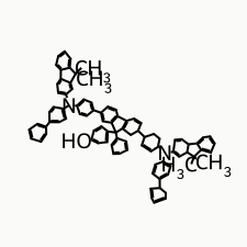 CC1(C)c2ccccc2-c2ccc(N(c3ccc(-c4ccccc4)cc3)c3ccc(-c4ccc5c(c4)C(c4ccccc4)(c4ccc(O)cc4)C4=C5C=CC(C5C=CC(N(C6=CC7C(C=C6)c6ccccc6C7(C)C)c6ccc(C7C=CC=CC7)cc6)CC5)C4)cc3)cc21